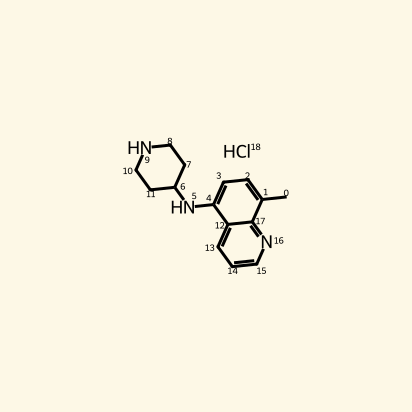 Cc1ccc(NC2CCNCC2)c2cccnc12.Cl